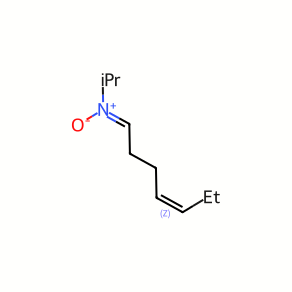 CC/C=C\CCC=[N+]([O-])C(C)C